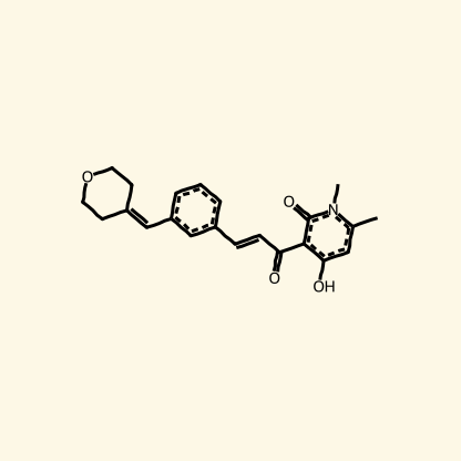 Cc1cc(O)c(C(=O)/C=C/c2cccc(C=C3CCOCC3)c2)c(=O)n1C